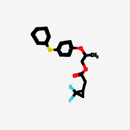 CC(COC(=O)CC1CC1(F)F)Oc1ccc(Sc2ccccc2)cc1